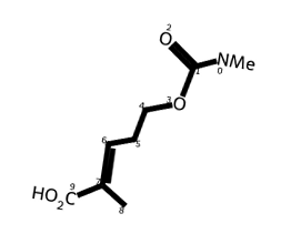 CNC(=O)OCCC=C(C)C(=O)O